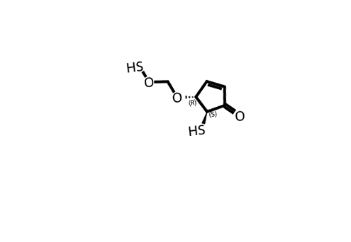 O=C1C=C[C@@H](OCOS)[C@@H]1S